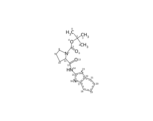 CC(C)(C)OC(=O)N1CCCC1C(=O)Nc1nc2ccccc2s1